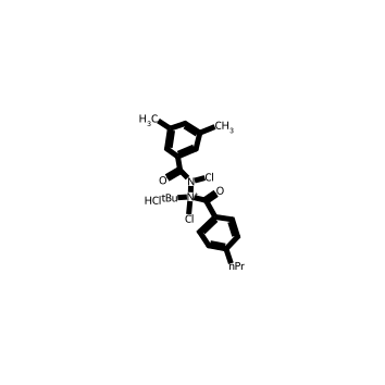 CCCc1ccc(C(=O)[N+](Cl)(N(Cl)C(=O)c2cc(C)cc(C)c2)C(C)(C)C)cc1.Cl